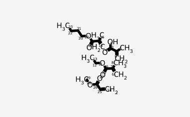 C=C(C)C(=O)O.C=C(C)C(=O)OCC.C=C(C)C(=O)OCCCC.C=CC(=O)OC